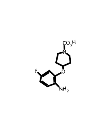 Nc1ccc(F)cc1OC1CCN(C(=O)O)CC1